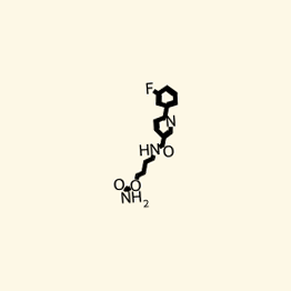 NC(=O)OCCCCNC(=O)c1ccc(-c2cccc(F)c2)nc1